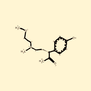 COCCN(C)CC[C@@H](C(C)=O)c1ccc(Cl)cc1